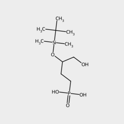 CC(C)(C)[Si](C)(C)OC(CO)CCP(=O)(O)O